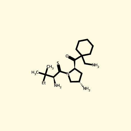 CCC(C)(C)[C@H](N)C(=S)N1C[C@@H](N)C[C@@H]1C(=O)C1(CN)CCCCC1